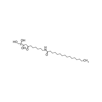 CCCCCCCCCCCCCCCC(=O)NCCCCCCC(=O)C[C@H](O)[C@H](O)CO